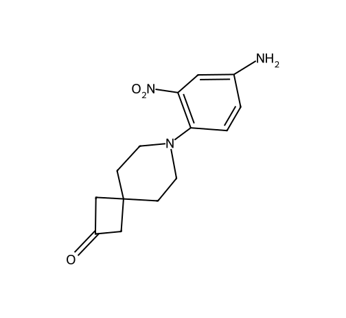 Nc1ccc(N2CCC3(CC2)CC(=O)C3)c([N+](=O)[O-])c1